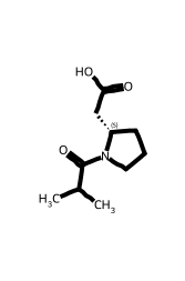 CC(C)C(=O)N1CCC[C@H]1CC(=O)O